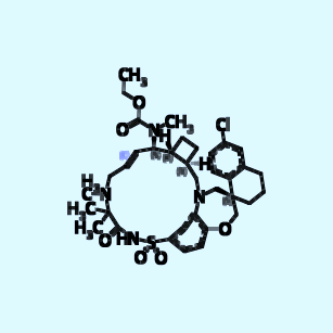 CCOC(=O)N(C)[C@@H]1/C=C/CN(C)C(C)(C)C(=O)NS(=O)(=O)c2ccc3c(c2)N(C[C@@H]2CC[C@H]21)C[C@@]1(CCCc2cc(Cl)ccc21)CO3